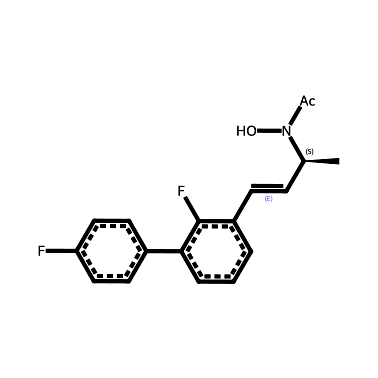 CC(=O)N(O)[C@@H](C)/C=C/c1cccc(-c2ccc(F)cc2)c1F